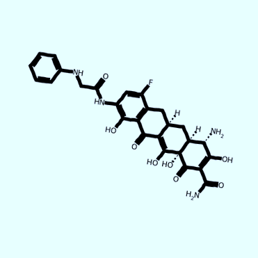 NC(=O)C1=C(O)[C@@H](N)[C@@H]2C[C@@H]3Cc4c(F)cc(NC(=O)CNc5ccccc5)c(O)c4C(=O)C3=C(O)[C@]2(O)C1=O